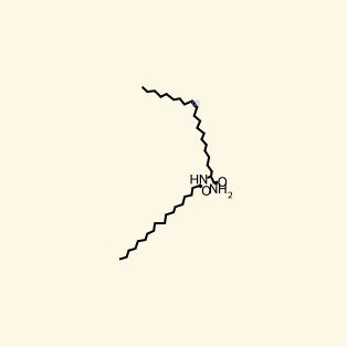 CCCCCCCC/C=C\CCCCCCCCCCC(NC(=O)CCCCCCCCCCCCCCCCC)C(N)=O